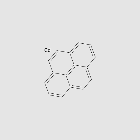 [Cd].c1cc2ccc3cccc4ccc(c1)c2c34